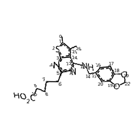 Cc1sc2nc(CCCCC(=O)O)nc(NCc3ccc4c(c3)OCO4)c2c1C